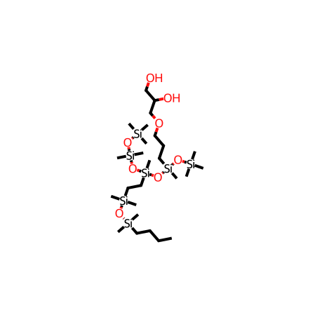 CCCC[Si](C)(C)O[Si](C)(C)CC[Si](C)(O[Si](C)(C)O[Si](C)(C)C)O[Si](C)(CCCOCC(O)CO)O[Si](C)(C)C